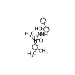 CC1=NN(c2ccc(C)c(C)c2)C(=O)/C1=N\Nc1cccc(-c2ccccc2)c1O